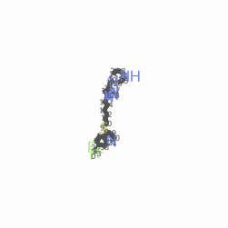 FC(F)(F)c1ccc2c(SCCCCCCn3cc(CN4CCCNCC4)nn3)ccnc2c1